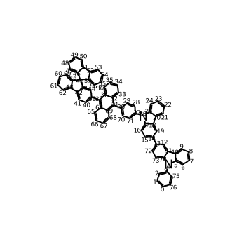 c1ccc(-n2c3ccccc3c3cc(-c4ccc5c(c4)c4ccccc4n5-c4ccc(-c5c6ccccc6c(-c6ccc7c(c6)C6(c8ccccc8-c8ccccc86)c6ccccc6-7)c6ccccc56)cc4)ccc32)cc1